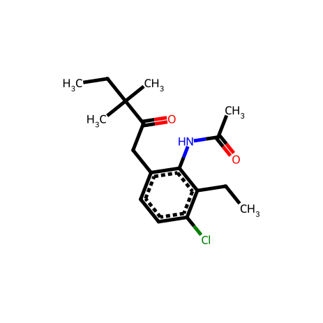 CCc1c(Cl)ccc(CC(=O)C(C)(C)CC)c1NC(C)=O